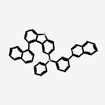 c1ccc(N(c2cccc(-c3ccc4ccccc4c3)c2)c2ccc3sc4cccc(-c5cccc6ccccc56)c4c3c2)cc1